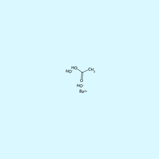 CC(=O)O.[Ba+2].[OH-].[OH-]